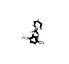 Oc1ccc(O)c2sc(=[N+]3CCCCC3)sc12